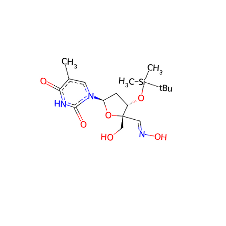 Cc1cn([C@H]2C[C@H](O[Si](C)(C)C(C)(C)C)[C@@](C=NO)(CO)O2)c(=O)[nH]c1=O